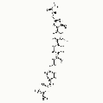 CC(=S)NC[C@@H]1CN(c2ccc(N3CCN(C(=O)CCCc4ccc(NC(=O)CN(C)C)cc4)CC3)c(F)c2)C(=O)O1